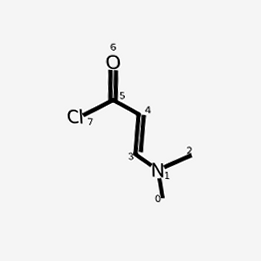 CN(C)C=CC(=O)Cl